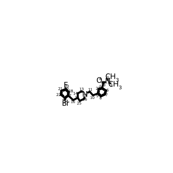 CN(C)C(=O)c1cccc(CCN2CCC(Cc3cc(F)ccc3Br)CC2)c1